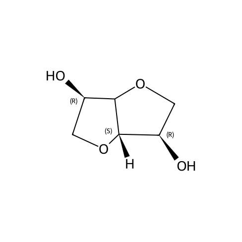 O[C@@H]1CO[C@@H]2C1OC[C@H]2O